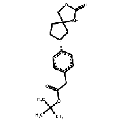 CC(C)(C)OC(=O)Cc1ccc([C@@H]2CC[C@]3(COC(=O)N3)C2)cc1